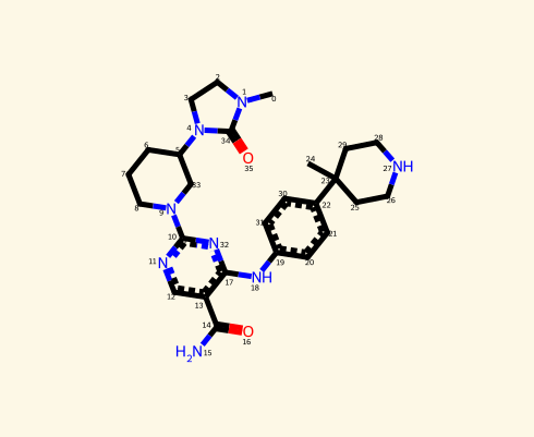 CN1CCN(C2CCCN(c3ncc(C(N)=O)c(Nc4ccc(C5(C)CCNCC5)cc4)n3)C2)C1=O